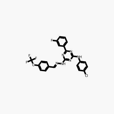 Fc1cccc(-c2nc(NN=Cc3ccc(OC(F)(F)F)cc3)nc(Nc3ccc(Cl)cc3)n2)c1